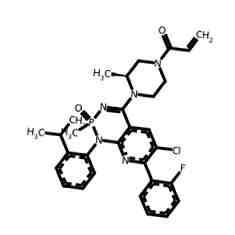 C=CC(=O)N1CCN(C2=NP(C)(=O)N(c3ccccc3C(C)C)c3nc(-c4ccccc4F)c(Cl)cc32)[C@@H](C)C1